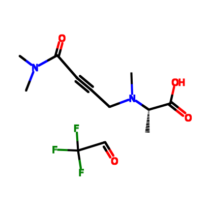 C[C@@H](C(=O)O)N(C)CC#CC(=O)N(C)C.O=CC(F)(F)F